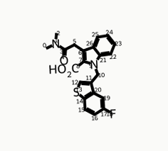 CN(C)C(=O)Cc1c(C(=O)O)n(Cc2csc3ccc(F)cc23)c2ccccc12